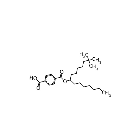 CCCCCCCC(CCCCCC(C)(C)C)OC(=O)c1ccc(C(=O)O)cc1